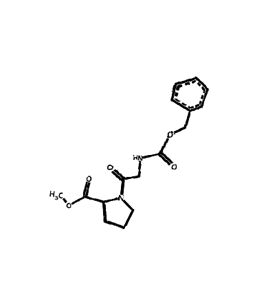 COC(=O)C1CCCN1C(=O)CNC(=O)OCc1ccccc1